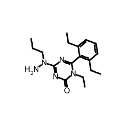 CCCN(N)c1nc(-c2c(CC)cccc2CC)n(CC)c(=O)n1